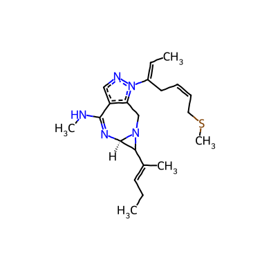 C/C=C(\C/C=C\CSC)n1ncc2c1CN1C(/C(C)=C/CC)[C@H]1N=C2NC